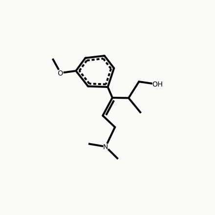 COc1cccc(C(=CCN(C)C)C(C)CO)c1